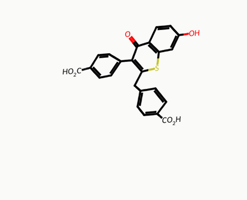 O=C(O)c1ccc(Cc2sc3cc(O)ccc3c(=O)c2-c2ccc(C(=O)O)cc2)cc1